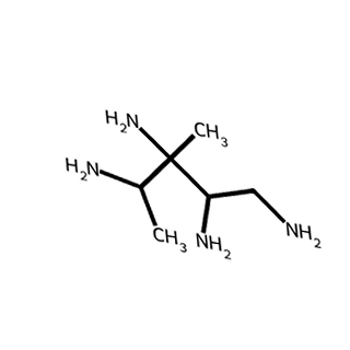 CC(N)C(C)(N)C(N)CN